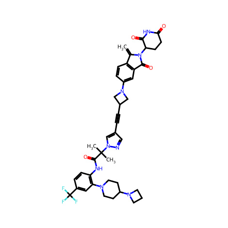 C=C1c2ccc(N3CC(C#Cc4cnn(C(C)(C)C(=O)Nc5ccc(C(F)(F)F)cc5N5CCC(N6CCC6)CC5)c4)C3)cc2C(=O)N1C1CCC(=O)NC1=O